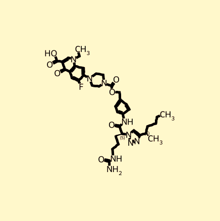 CCCC[C@H](C)c1cn([C@@H](CCCNC(N)=O)C(=O)Nc2ccc(COC(=O)N3CCN(c4cc5c(cc4F)c(=O)c(C(=O)O)cn5CC)CC3)cc2)nn1